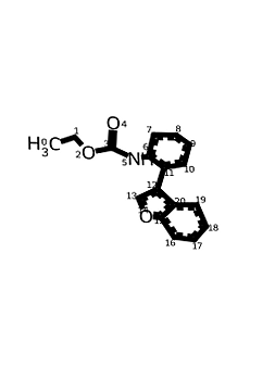 CCOC(=O)Nc1ccccc1-c1coc2ccccc12